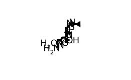 Cc1cc(CC(C(=O)O)c2cn(Cc3nnc(C4CC4)s3)cn2)cnc1N